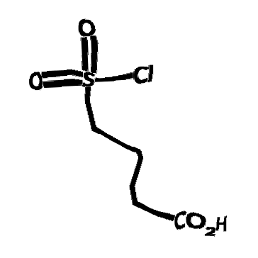 O=C(O)CCCS(=O)(=O)Cl